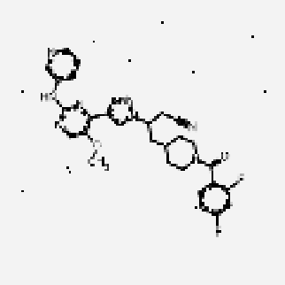 COc1cnc(Nc2cccnc2)nc1-c1cnn(C(CC#N)CC2CCN(C(=O)c3ccc(F)cc3F)CC2)c1